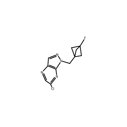 FC12CC(Cn3ncc4ncc(Cl)nc43)(C1)C2